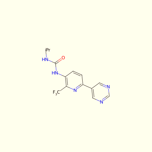 CC(C)NC(=O)Nc1ccc(-c2cncnc2)nc1C(F)(F)F